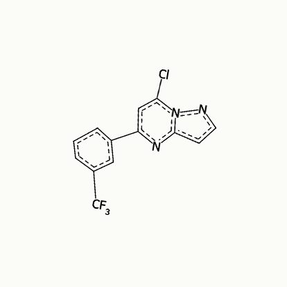 FC(F)(F)c1cccc(-c2cc(Cl)n3nccc3n2)c1